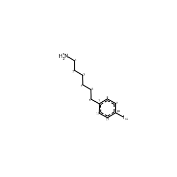 NCCCCCCc1ccc(I)cc1